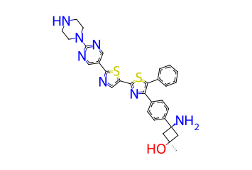 C[C@]1(O)C[C@](N)(c2ccc(-c3nc(-c4cnc(-c5cnc(N6CCNCC6)nc5)s4)sc3-c3ccccc3)cc2)C1